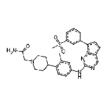 Cc1cc(Nc2ncc3ccc(-c4cccc(S(C)(=O)=O)c4)n3n2)ccc1C1CCN(CC(N)=O)CC1